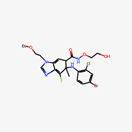 CCOCCn1cnc2c1=CC(C(=O)NOCCO)C(C)(Nc1ccc(Br)cc1Cl)C=2F